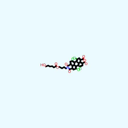 O=C(CCCCCO)OCCCCN1C(=O)c2cc(Cl)c3c4c(Cl)cc5c6c(cc(Cl)c(c7c(Cl)cc(c2c37)C1=O)c64)C(=O)OC5=O